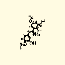 CCOc1cc(OCC)c2c(c1)C(Cc1ccc(OCC)c(O)c1)=NCC2